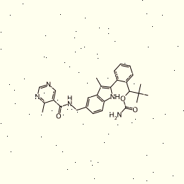 Cc1ncncc1C(=O)NCc1ccc2[nH]c(-c3ccccc3C(OC(N)=O)C(C)(C)C)c(C)c2c1